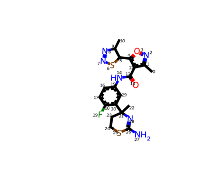 Cc1noc(C2SN=NC2C)c1C(=O)Nc1ccc(F)c(C2(C)CCSC(N)=N2)c1